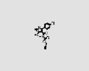 C#CCOC(=O)NC(=O)c1c(-c2ccc(Cl)cc2)nn(C)c1SC